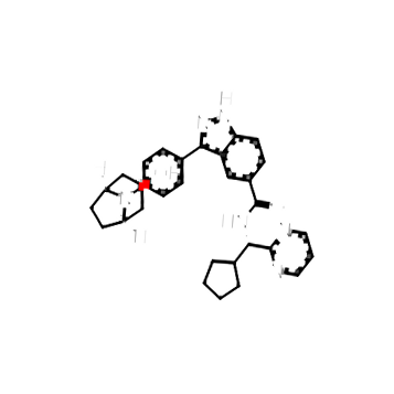 O=C(N[C@H](c1ncccn1)C1CCCC1)c1ccc2[nH]nc(-c3ccc(N4[C@@H]5CC[C@H]4C[C@@H](O)C5)cc3)c2c1